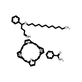 C1=Cc2cc3ccc(cc4nc(cc5ccc(cc1n2)[nH]5)C=C4)[nH]3.CCCCCCCCCCCCOC(CCC=N)c1ccccc1.NC(=O)c1ccccc1